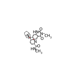 CCn1c(=O)[nH]c2cc(CN3C4CCC3CN(c3ccc(C(=O)NC)nc3)C4)ccc2c1=O